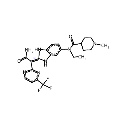 CCN(C(=O)C1CCN(C)CC1)c1ccc2c(c1)N/C(=C(/C(N)=O)c1nccc(C(F)(F)F)n1)N2